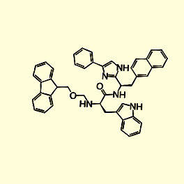 O=C(N[C@H](Cc1ccc2ccccc2c1)c1nc(-c2ccccc2)c[nH]1)[C@@H](Cc1c[nH]c2ccccc12)NCOCC1c2ccccc2-c2ccccc21